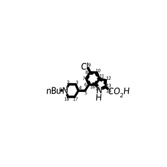 CCCCN1CCC(Cc2cc(Cl)cc3cc(C(=O)O)[nH]c23)CC1